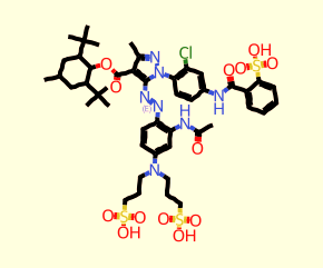 CC(=O)Nc1cc(N(CCCS(=O)(=O)O)CCCS(=O)(=O)O)ccc1/N=N/c1c(C(=O)OC2C(C(C)(C)C)CC(C)CC2C(C)(C)C)c(C)nn1-c1ccc(NC(=O)c2ccccc2S(=O)(=O)O)cc1Cl